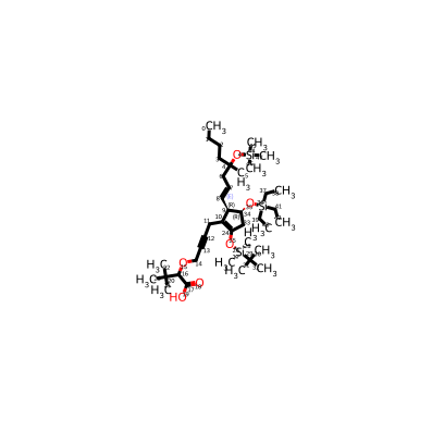 CCCCC(C)(C/C=C/[C@@H]1C(CC#CCOC(C(=O)O)C(C)(C)C)=C(O[Si](C)(C)C(C)(C)C)C[C@H]1O[Si](CC)(CC)CC)O[Si](C)(C)C